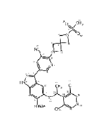 COc1cc2[nH]nc(-c3cnc(N4CC5(C4)CN(S(C)(=O)=O)C5)c(C#N)c3)c2cc1OC(C)c1c(Cl)cncc1Cl